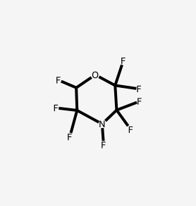 FC1OC(F)(F)C(F)(F)N(F)C1(F)F